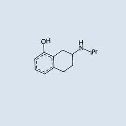 CC(C)NC1CCc2cccc(O)c2C1